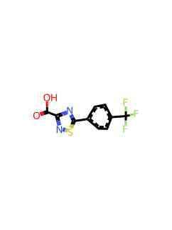 O=C(O)c1nsc(-c2ccc(C(F)(F)F)cc2)n1